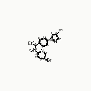 CCC(c1ccc(-n2cc(F)cn2)nc1)N(C)c1ccc(Br)cn1